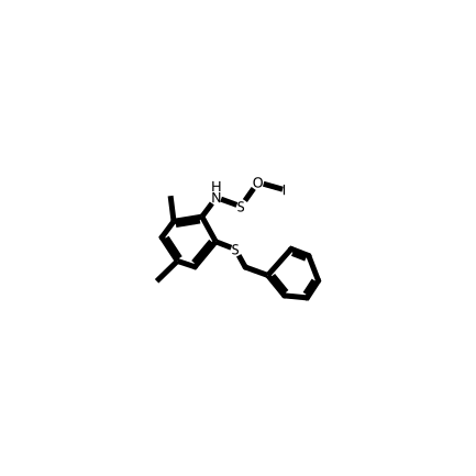 Cc1cc(C)c(NSOI)c(SCc2ccccc2)c1